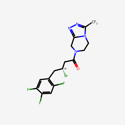 O=C(C[C@H](Br)Cc1cc(F)c(F)cc1F)N1CCn2c(nnc2C(F)(F)F)C1